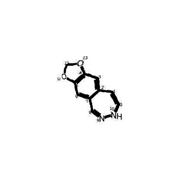 C1=Cc2cc3c(cc2C=NN1)OCO3